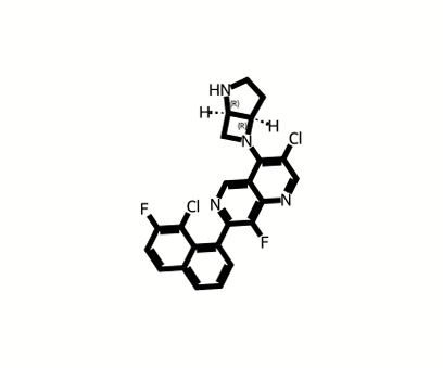 Fc1ccc2cccc(-c3ncc4c(N5C[C@H]6NCC[C@H]65)c(Cl)cnc4c3F)c2c1Cl